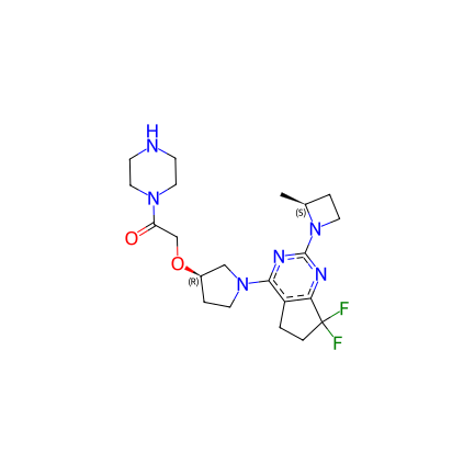 C[C@H]1CCN1c1nc(N2CC[C@@H](OCC(=O)N3CCNCC3)C2)c2c(n1)C(F)(F)CC2